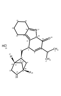 CC(C)c1cn(C[C@H]2C[C@H]3C[C@@H]2CN3)c2c3c(nn2c1=O)CCCC3.Cl